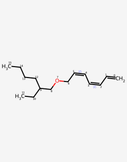 C=C/C=C\C=C/COCC(CC)CCCC